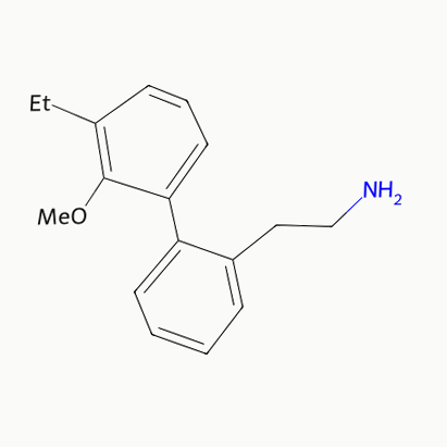 CCc1cccc(-c2ccccc2CCN)c1OC